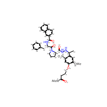 CNC(=O)CCCOc1cc([N+](=O)[O-])c(C(C)NNC(=O)[C@@H]2CCCN2C(=O)[C@H](Cc2ccccc2)NC(=O)c2ccc3ccccc3c2)cc1OC